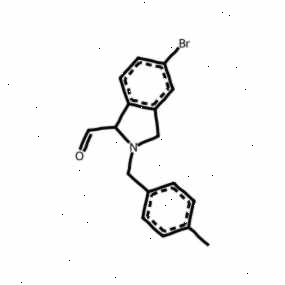 Cc1ccc(CN2Cc3cc(Br)ccc3C2C=O)cc1